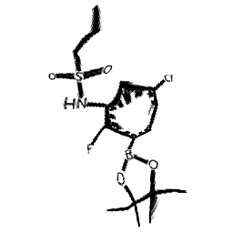 CCCS(=O)(=O)Nc1cc(Cl)cc(B2OC(C)(C)C(C)(C)O2)c1F